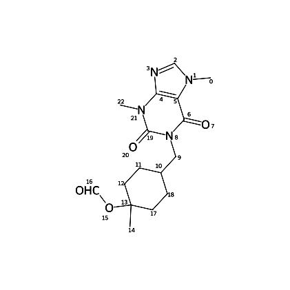 Cn1cnc2c1c(=O)n(CC1CCC(C)(OC=O)CC1)c(=O)n2C